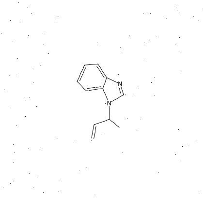 C=CC(C)n1[c]nc2ccccc21